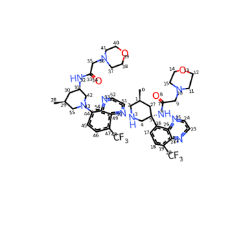 C[C@@H]1CNC[C@](NC(=O)CN2CCOCC2)(c2ccc(C(F)(F)F)c3nccnc23)C1.C[C@H]1C[C@@H](NC(=O)CN2CCOCC2)CN(c2ccc(C(F)(F)F)c3nccnc23)C1